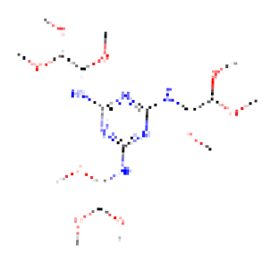 COC(Nc1nc(NC(OC)C(OC)OC)nc(NC(OC)C(OC)OC)n1)C(OC)OC